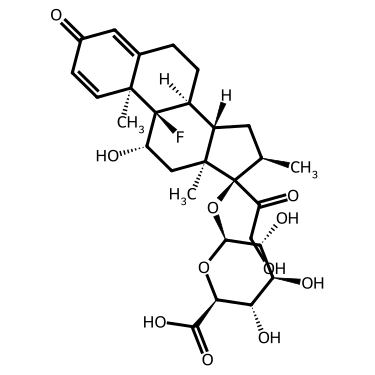 C[C@@H]1C[C@H]2[C@@H]3CCC4=CC(=O)C=C[C@]4(C)[C@@]3(F)[C@@H](O)C[C@]2(C)[C@@]1(O[C@@H]1O[C@H](C(=O)O)[C@@H](O)[C@H](O)[C@H]1O)C(=O)CO